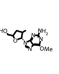 COc1nc(N)nc2c1ncn2[C@@H]1OC(CO)CC1C